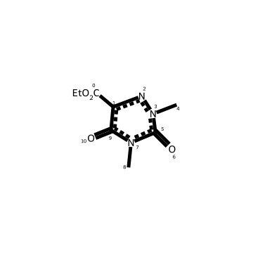 CCOC(=O)c1nn(C)c(=O)n(C)c1=O